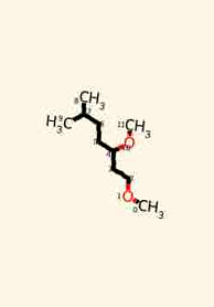 COCCC(CCC(C)C)OC